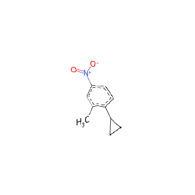 Cc1cc([N+](=O)[O-])ccc1C1CC1